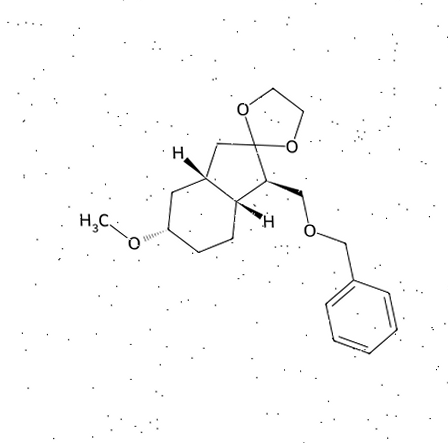 CO[C@H]1CC[C@@H]2[C@H](C1)CC1(OCCO1)[C@H]2COCc1ccccc1